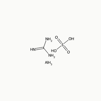 N=C(N)N.O=S(=O)(O)O.[AlH3]